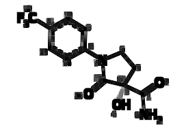 NC(=O)[C@]1(O)CCN(c2ccc(C(F)(F)F)cc2)C1=O